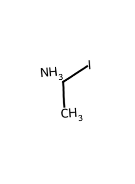 CCI.N